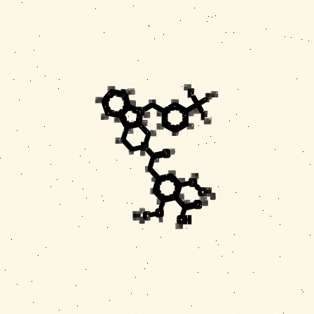 COc1cc(CC(=O)N2CCc3c(n(Cc4cccc(C(F)(F)F)c4)c4ncccc34)C2)cc(OC)c1C(=O)O